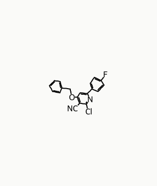 N#Cc1c(OCc2ccccc2)cc(-c2ccc(F)cc2)nc1Cl